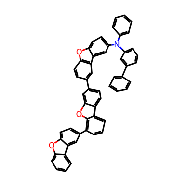 c1ccc(-c2cccc(N(c3ccccc3)c3ccc4oc5ccc(-c6ccc7c(c6)oc6c(-c8ccc9oc%10ccccc%10c9c8)cccc67)cc5c4c3)c2)cc1